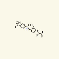 C/C(=C\c1ccc(OC(F)=C(F)F)cc1)c1ccc(C(=O)O)cc1